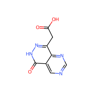 O=C(O)Cc1n[nH]c(=O)c2cncnc12